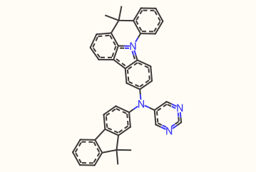 CC1(C)c2ccccc2-c2ccc(N(c3cncnc3)c3ccc4c(c3)c3cccc5c3n4-c3ccccc3C5(C)C)cc21